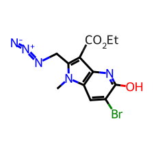 CCOC(=O)c1c(CN=[N+]=[N-])n(C)c2cc(Br)c(O)nc12